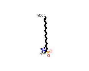 CCCCCCCCC=CCCCCCCCCCCCC(CCC)(P(=O)=O)[N+](C)(C)C